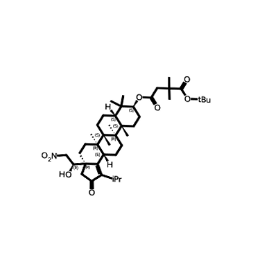 CC(C)C1=C2[C@H]3CC[C@@]4(C)[C@@](C)(CC[C@@H]5C(C)(C)[C@@H](OC(=O)CC(C)(C)C(=O)OC(C)(C)C)CC[C@@]54C)[C@]3(C)CC[C@@]2([C@@H](O)C[N+](=O)[O-])CC1=O